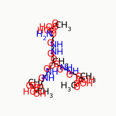 CC(=O)OCC1O[C@@H](OCCCCC(=O)NCCCNC(=O)CCOCC(C)(COCCC(=O)NCCCNC(=O)CCCCO[C@@H]2OC(COC(C)=O)[C@H](O)C(O)[C@@H]2C)COCCC(=O)NCCCNC(=O)CCCCO[C@@H]2OC(COC(C)=O)[C@H](O)C(O)[C@@H]2N)[C@@H](C)C(O)[C@H]1O